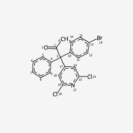 CC(=O)C(c1ccccc1)(c1ccc(Br)cc1)c1cc(Cl)nc(Cl)c1